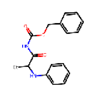 CCC(Nc1ccccc1)C(=O)NC(=O)OCc1ccccc1